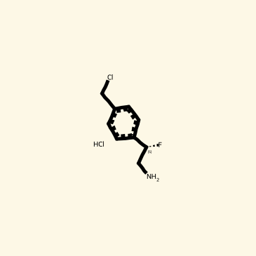 Cl.NC[C@@H](F)c1ccc(CCl)cc1